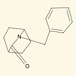 O=C1C2CCC(CC2)N1Cc1ccccc1